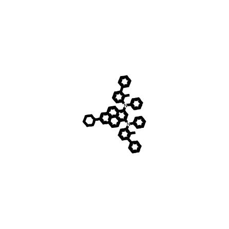 Cc1c(-c2ccccc2)cccc1N(c1ccccc1)c1cc(N(c2ccccc2)c2cccc(-c3ccccc3)c2C)c2ccc3cc(C4CCCCC4)cc4ccc1c2c43